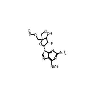 CNc1nc(N)nc2c1ncn2[C@@H]1O[C@](CCl)(COP=O)[C@@H](O)[C@@H]1F